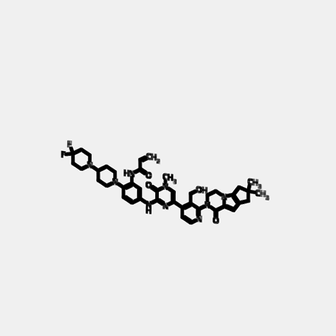 C=CC(=O)Nc1cc(Nc2nc(-c3ccnc(N4CCn5c(cc6c5CC(C)(C)C6)C4=O)c3CO)cn(C)c2=O)ccc1N1CCC(N2CCC(F)(F)CC2)CC1